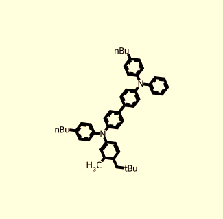 CCCCc1ccc(N(C2=CC(C)C(CC(C)(C)C)C=C2)c2ccc(-c3ccc(N(c4ccccc4)c4ccc(CCCC)cc4)cc3)cc2)cc1